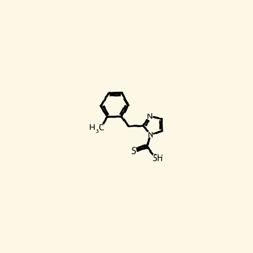 Cc1ccccc1Cc1nccn1C(=S)S